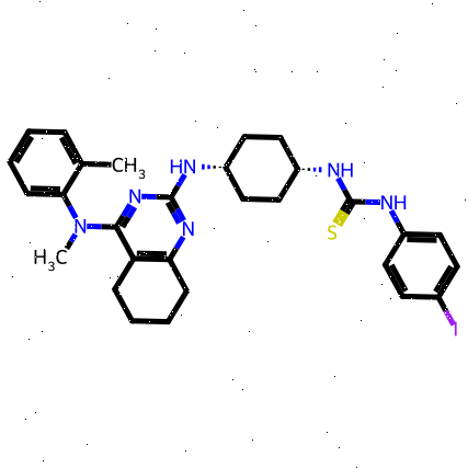 Cc1ccccc1N(C)c1nc(N[C@H]2CC[C@@H](NC(=S)Nc3ccc(I)cc3)CC2)nc2c1CCCC2